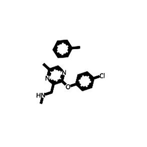 CNCc1nc(C)cnc1Oc1ccc(Cl)cc1.Cc1ccccc1